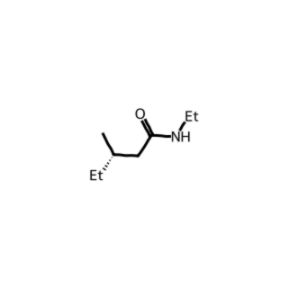 CCNC(=O)C[C@@H](C)CC